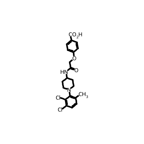 Cc1ccc(Cl)c(Cl)c1N1CCC(NC(=O)COc2ccc(C(=O)O)cc2)CC1